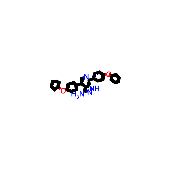 Nc1n[nH]c2c(-c3ccc(Oc4ccccc4)cc3)ncc(-c3ccc(Oc4ccccc4)cc3)c12